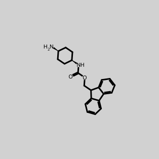 N[C@H]1CC[C@@H](NC(=O)OCC2c3ccccc3-c3ccccc32)CC1